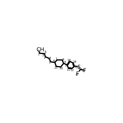 CCCCCCC1CCC(c2ccc(SC(F)F)cc2)CC1